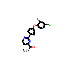 CNC(=O)c1ccnc(-c2ccc(Oc3ccc(Cl)cc3F)cc2)n1